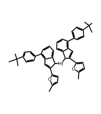 Cc1ccc(C2=Cc3c(-c4ccc(C(C)(C)C)cc4)cccc3[CH]2[Hf][CH]2C(c3ccc(C)o3)=Cc3c(-c4ccc(C(C)(C)C)cc4)cccc32)o1